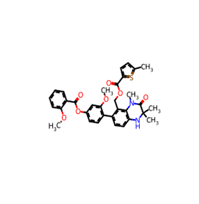 COc1ccccc1C(=O)Oc1ccc(-c2ccc3c(c2COC(=O)c2ccc(C)s2)N(C)C(=O)C(C)(C)N3)c(OC)c1